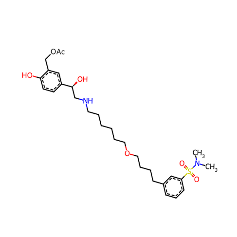 CC(=O)OCc1cc([C@@H](O)CNCCCCCCOCCCCc2cccc(S(=O)(=O)N(C)C)c2)ccc1O